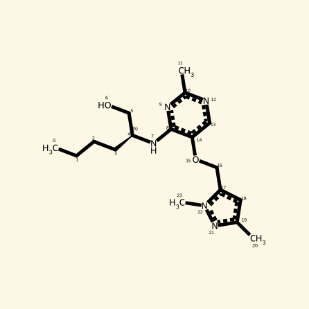 CCCC[C@@H](CO)Nc1nc(C)ncc1OCc1cc(C)nn1C